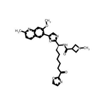 COc1cc2nc(C)ccc2cc1-c1cnc([C@H](CCCCCC(=O)c2ncco2)NC(=O)C2CN(C)C2)o1